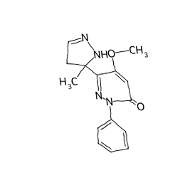 COc1cc(=O)n(-c2ccccc2)nc1C1(C)CC=NN1